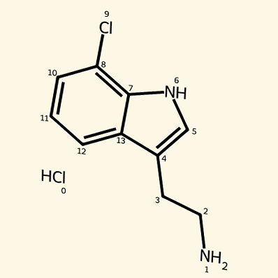 Cl.NCCc1c[nH]c2c(Cl)cccc12